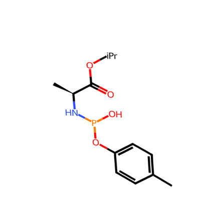 Cc1ccc(OP(O)N[C@@H](C)C(=O)OC(C)C)cc1